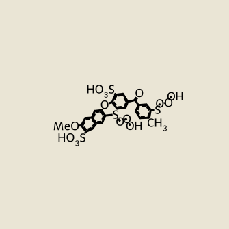 COc1cc2cc(Oc3ccc(C(=O)c4ccc(C)c(SOOO)c4)cc3S(=O)(=O)O)c(SOOO)cc2cc1S(=O)(=O)O